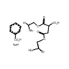 CCCCC(CC)COC(=O)CC(C(=O)OCC(CC)CCCC)S(=O)(=O)O.O=C(O)c1ccccc1.[NaH]